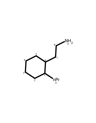 CCCC1CCCCC1CCN